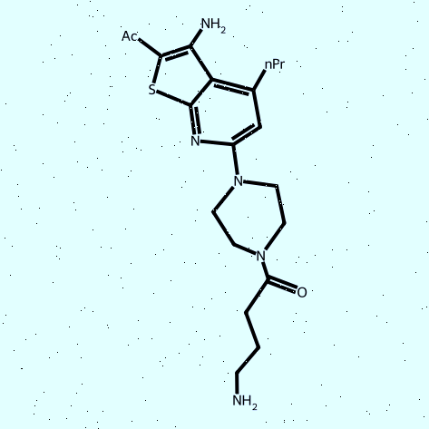 CCCc1cc(N2CCN(C(=O)CCCN)CC2)nc2sc(C(C)=O)c(N)c12